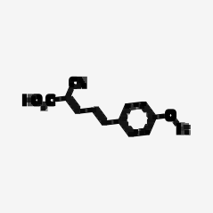 CCOc1ccc(/C=C/C=C(\C#N)C(=O)O)cc1